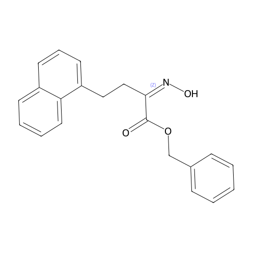 O=C(OCc1ccccc1)/C(CCc1cccc2ccccc12)=N\O